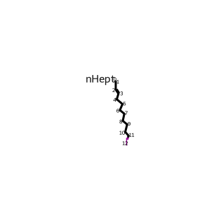 CCCCCCCCC=CCCCCCCCCI